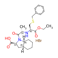 Br.CCOC(=O)[C@H](CSCc1ccccc1)N[C@@H](C)C(=O)N1[C@@H]2CCCC[C@@H]2C[C@H]1C(=O)O